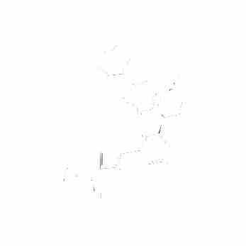 O[C@H](c1coc(-c2cncc([C@]34CC[C@H](CC3)c3cc(-c5c(F)cccc5F)nnc34)n2)n1)C1CC1